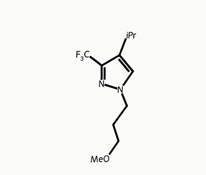 COCCCn1cc(C(C)C)c(C(F)(F)F)n1